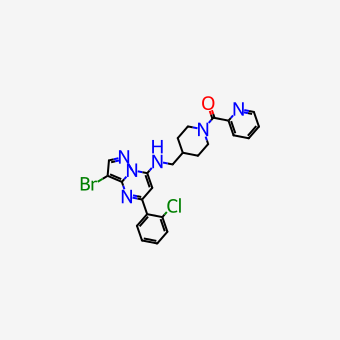 O=C(c1ccccn1)N1CCC(CNc2cc(-c3ccccc3Cl)nc3c(Br)cnn23)CC1